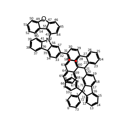 c1ccc(C2(c3ccccc3)c3ccccc3-c3ccc(C(c4ccccc4-c4ccc(-c5ccc6c7ccccc7n(-c7cccc8oc9ccccc9c78)c6c5)cc4)c4cccc5ccccc45)cc32)cc1